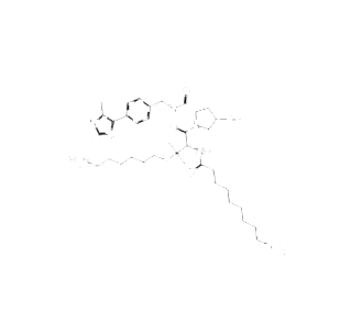 Cc1ncsc1-c1ccc(CNC(=O)[C@@H]2C[C@@H](O)CN2C(=O)C(NC(=O)CCCCCCCCN)C(C)(C)SCCCCCCN)cc1